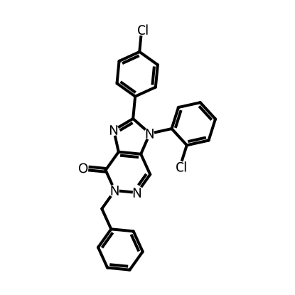 O=c1c2nc(-c3ccc(Cl)cc3)n(-c3ccccc3Cl)c2cnn1Cc1ccccc1